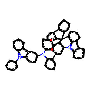 c1ccc(N(c2ccc3c(c2)c2ccccc2n3-c2ccccc2)c2ccccc2-c2ccc3c(c2)-n2c4ccccc4c4cccc(c42)C32c3ccccc3-c3ccccc32)cc1